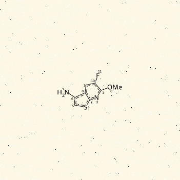 COc1nc2scc(N)c2cc1F